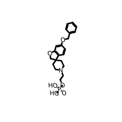 O=P(O)(O)OCCN1CCC2(CC1)COc1cc(OCc3ccccc3)ccc12